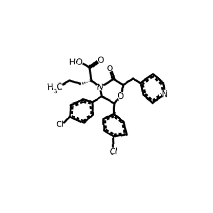 CCC[C@H](C(=O)O)N1C(=O)C(Cc2ccncc2)OC(c2ccc(Cl)cc2)C1c1ccc(Cl)cc1